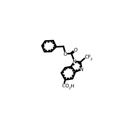 O=C(O)c1ccc2c(c1)nc(C(F)(F)F)n2C(=O)OCc1ccccc1